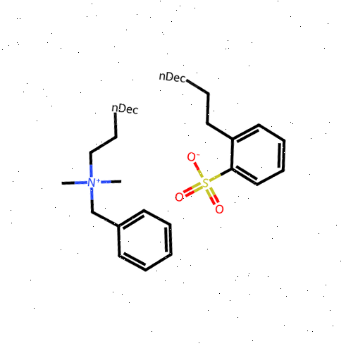 CCCCCCCCCCCC[N+](C)(C)Cc1ccccc1.CCCCCCCCCCCCc1ccccc1S(=O)(=O)[O-]